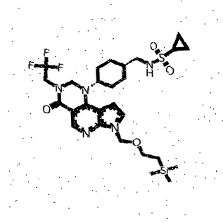 C[Si](C)(C)CCOCn1ccc2c3c(cnc21)C(=O)N(CC(F)(F)F)CN3[C@H]1CC[C@H](CNS(=O)(=O)C2CC2)CC1